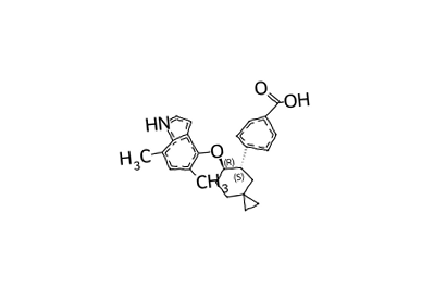 Cc1cc(C)c2[nH]ccc2c1O[C@@H]1CCC2(CC2)C[C@H]1c1ccc(C(=O)O)cc1